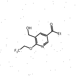 CCC(=O)c1cnc(OCC(F)(F)F)c(CO)c1